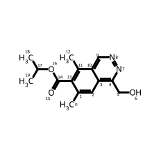 Cc1cc2c(CO)nncc2c(C)c1C(=O)OC(C)C